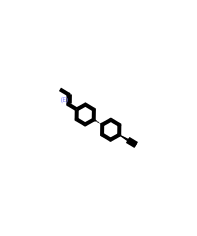 C#C[C@H]1CC[C@H](C2CCC(/C=C/C)CC2)CC1